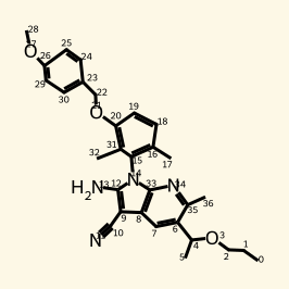 CCCOC(C)c1cc2c(C#N)c(N)n(-c3c(C)ccc(OCc4ccc(OC)cc4)c3C)c2nc1C